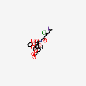 C=C(I)C[C@H](Cl)CCC(=O)/C=C/[C@H](O)[C@@H]1O[C@H]2CC[C@H](CC(=O)OC)O[C@@H]2[C@@H]2OC3(CCCCC3)O[C@@H]21